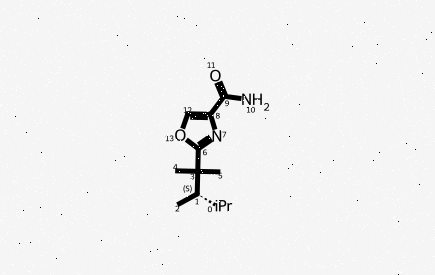 CC(C)[C@H](C)C(C)(C)c1nc(C(N)=O)co1